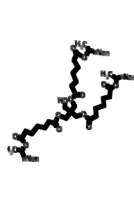 CCCCCCCCCC(C)OC(=O)CCCCCC(=O)OCC(CO)(COC(=O)CCCCCC(=O)OC(C)CCCCCCCCC)COC(=O)CCCCCC(=O)OC(C)CCCCCCCCC